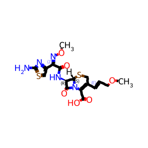 COC/C=C/C1=C(C(=O)O)N2C(=O)[C@@H](NC(=O)/C(=N\OC)c3csc(N)n3)[C@@H]2SC1